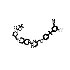 CC(C)(C)OC(=O)N1CCC(CN2CCC3(CC2)CCN(c2nccc(COc4ccc(C(C)(C)c5cc(Cl)cc(C#N)c5)cc4)n2)CC3)C1